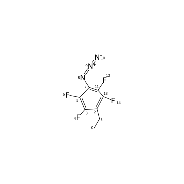 CCc1c(F)c(F)c(N=[N+]=[N-])c(F)c1F